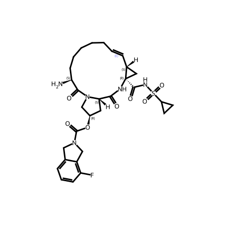 N[C@H]1CCCCC/C=C/[C@@H]2C[C@@]2(C(=O)NS(=O)(=O)C2CC2)NC(=O)[C@@H]2C[C@@H](OC(=O)N3Cc4cccc(F)c4C3)CN2C1=O